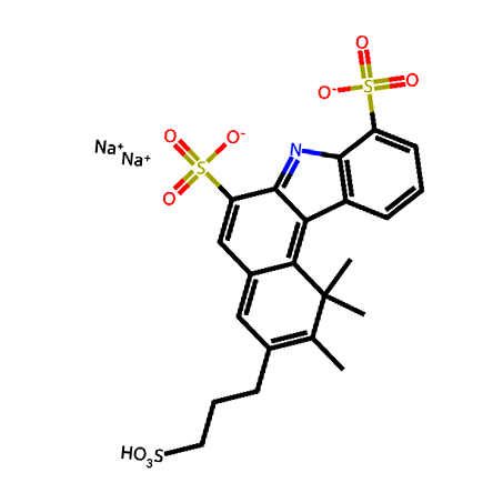 CC1=C(CCCS(=O)(=O)O)C=c2cc(S(=O)(=O)[O-])c3c(c2C1(C)C)-c1cccc(S(=O)(=O)[O-])c1N=3.[Na+].[Na+]